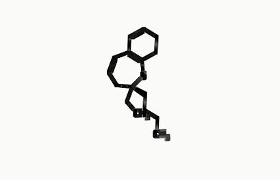 CCCC[C@@]1(CC)CC=CC2=C(CCC=C2)S1